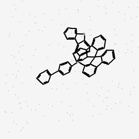 C1=CC2c3ccccc3C3(c4ccccc4-c4cccc(N(c5ccc(-c6ccccc6)cc5)c5ccc6sc7ccccc7c6c5)c43)C2C=C1